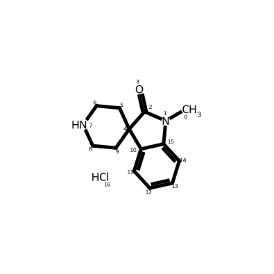 CN1C(=O)C2(CCNCC2)c2ccccc21.Cl